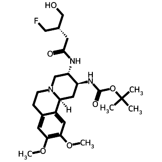 COc1cc2c(cc1OC)[C@@H]1C[C@H](NC(=O)OC(C)(C)C)[C@@H](NC(=O)C[C@@H](CO)CF)CN1CC2